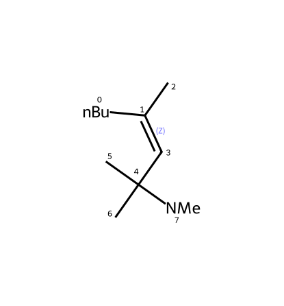 CCCC/C(C)=C\C(C)(C)NC